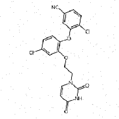 N#Cc1ccc(Cl)c(Oc2ccc(Cl)cc2OCCn2ccc(=O)[nH]c2=O)c1